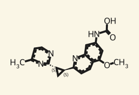 COc1cc(NC(=O)O)cc2nc([C@H]3C[C@@H]3c3nccc(C)n3)ccc12